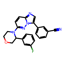 N#Cc1cccc(-c2cnc3ccc(N4CCOCC4c4cccc(F)c4)nn23)c1